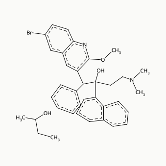 CCC(C)O.COc1nc2ccc(Br)cc2cc1C(c1ccccc1)C(O)(CCN(C)C)c1cccc2ccccc12